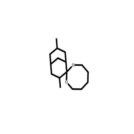 CC1CC2CC(C)C3(OCCCCCO3)C(C1)C2